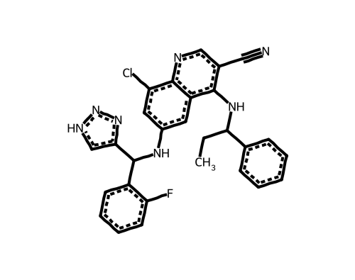 CCC(Nc1c(C#N)cnc2c(Cl)cc(NC(c3c[nH]nn3)c3ccccc3F)cc12)c1ccccc1